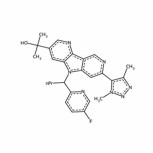 CCCC(c1ccc(F)cn1)n1c2cc(-c3c(C)nnn3C)ncc2c2ncc(C(C)(C)O)cc21